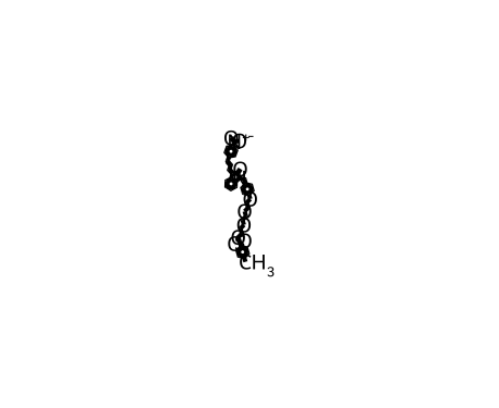 Cc1ccc(S(=O)(=O)OCCOCCOCCOc2ccc(CN3C(=O)C(=CC=Cc4ccc([N+](=O)[O-])cc4)c4ccccc43)cc2)cc1